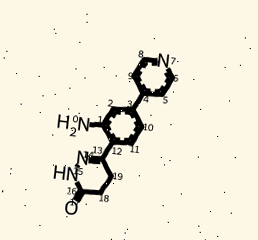 Nc1cc(-c2ccncc2)ccc1C1=NNC(=O)CC1